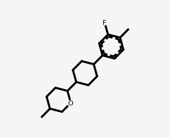 Cc1ccc(C2CCC(C3CCC(C)CO3)CC2)cc1F